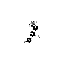 CNS(=O)(=O)Nc1nccc(Oc2cncc(Oc3ccc(Cl)cc3)c2C)c1F